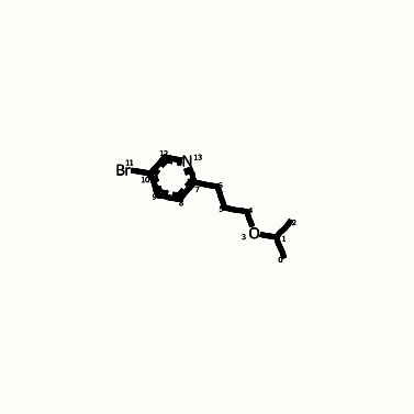 CC(C)OCCCc1ccc(Br)cn1